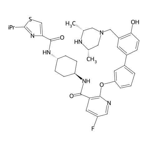 CC(C)c1nc(C(=O)N[C@H]2CC[C@H](NC(=O)c3cc(F)cnc3Oc3cccc(-c4ccc(O)c(CN5C[C@@H](C)N[C@@H](C)C5)c4)c3)CC2)cs1